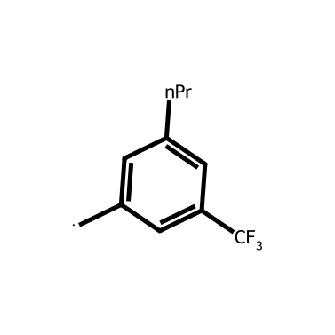 [CH2]c1cc(CCC)cc(C(F)(F)F)c1